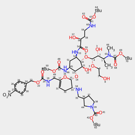 C[C@@H]([C@@H](O)[C@H](OCCO)O[C@@H]1[C@@H](O)[C@H](O[C@H]2OC(CNC(=O)OCc3ccc([N+](=O)[O-])cc3)=CC[C@H]2NCC2CCN(C(=O)OC(C)(C)C)C2)[C@@H](NC(=O)OC(C)(C)C)C[C@H]1NC(=O)[C@@H](O)CCNC(=O)OC(C)(C)C)N(C)C(=O)OC(C)(C)C